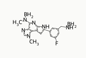 BNCc1cc(F)cc(-c2cc3c(nc(N(B)C)c4ncn(C)c43)[nH]2)c1